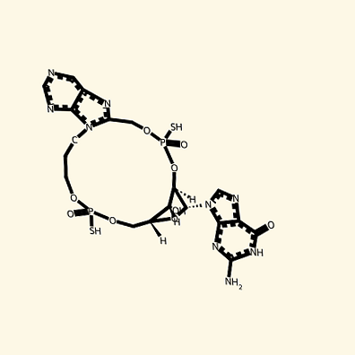 Nc1nc2c(ncn2[C@@H]2O[C@@H]3COP(=O)(S)OCCCn4c(nc5cncnc54)COP(=O)(S)O[C@@H]2[C@@H]3O)c(=O)[nH]1